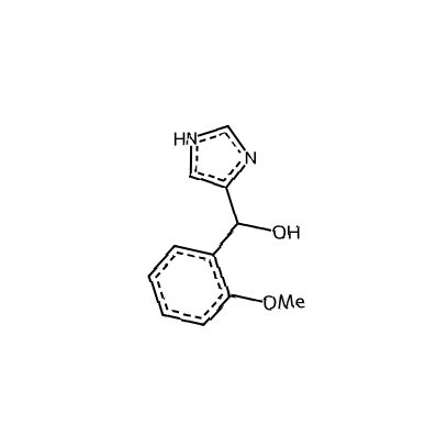 COc1ccccc1C(O)c1c[nH]cn1